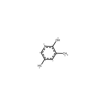 Cc1cc(S)cnc1O